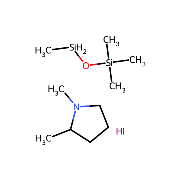 CC1CCCN1C.C[SiH2]O[Si](C)(C)C.I